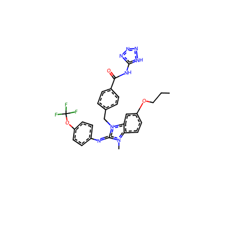 CCCOc1ccc2c(c1)n(Cc1ccc(C(=O)Nc3nnn[nH]3)cc1)c(=Nc1ccc(OC(F)(F)F)cc1)n2C